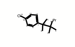 CC(C)C(C)(C)C(C)(C)c1ccc(Cl)cc1